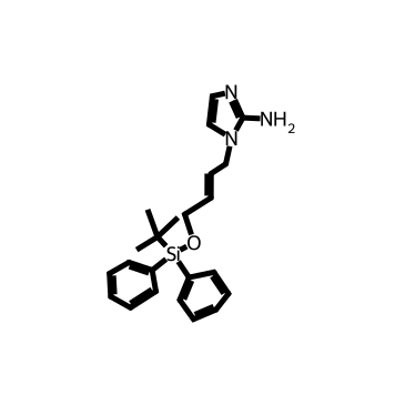 CC(C)(C)[Si](OC/C=C/Cn1ccnc1N)(c1ccccc1)c1ccccc1